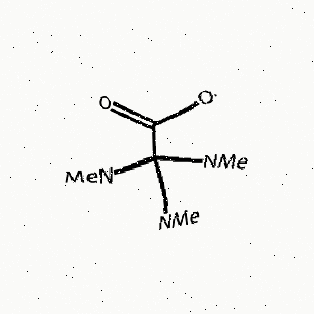 CNC(NC)(NC)C([O])=O